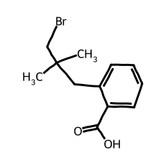 CC(C)(CBr)Cc1ccccc1C(=O)O